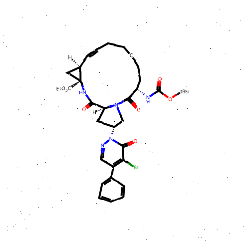 CCOC(=O)[C@@]12C[C@H]1/C=C\CCCCC[C@H](NC(=O)OC(C)(C)C)C(=O)N1C[C@H](n3ncc(-c4ccccc4)c(Br)c3=O)C[C@H]1C(=O)N2